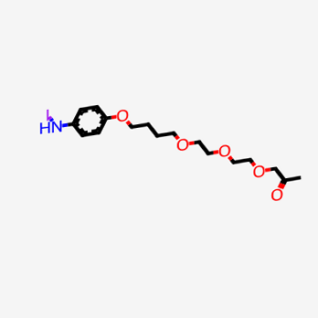 CC(=O)COCCOCCOCCCCOc1ccc(NI)cc1